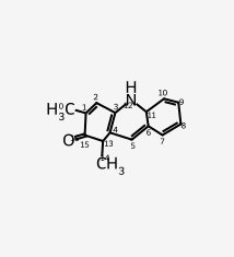 CC1=CC2=C(C=C3C=CC=CC3N2)C(C)C1=O